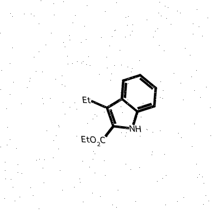 CCOC(=O)c1[nH]c2ccccc2c1CC